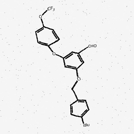 CC(C)(C)c1ccc(COc2cc(C=O)cc(Oc3ccc(OC(F)(F)F)cc3)c2)cc1